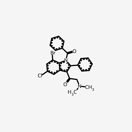 CN(C)CC(=O)c1c(-c2ccccc2)n(C(=O)c2ccccc2)c2c(Br)cc(Cl)cc12